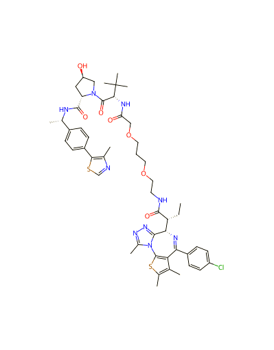 CC[C@@H](C(=O)NCCOCCCOCC(=O)N[C@H](C(=O)N1C[C@H](O)C[C@H]1C(=O)N[C@@H](C)c1ccc(-c2scnc2C)cc1)C(C)(C)C)[C@@H]1N=C(c2ccc(Cl)cc2)c2c(sc(C)c2C)-n2c(C)nnc21